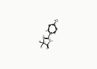 C=C1OC(c2ccc(Cl)cc2)=NC1(C)C